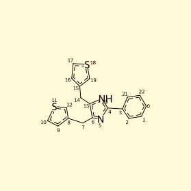 c1ccc(-c2nc(Cc3ccsc3)c(Cc3ccsc3)[nH]2)cc1